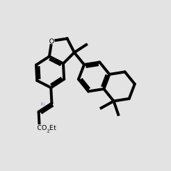 CCOC(=O)/C=C/c1ccc2c(c1)C(C)(c1ccc3c(c1)CCCC3(C)C)CO2